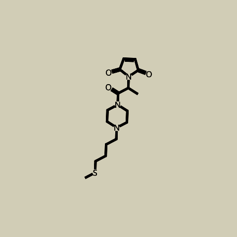 CSCCCCN1CCN(C(=O)C(C)N2C(=O)C=CC2=O)CC1